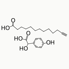 C#CCCCCCCCCCCC(=O)O.O=C(O)C(O)c1ccc(O)cc1